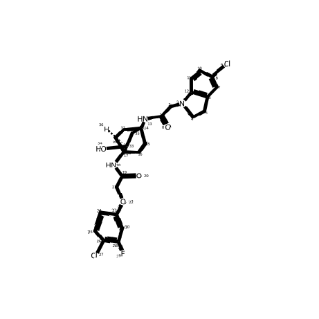 O=C(CN1CCc2cc(Cl)ccc21)NC12CCC(NC(=O)COc3ccc(Cl)c(F)c3)(CC1)[C@@H](O)C2